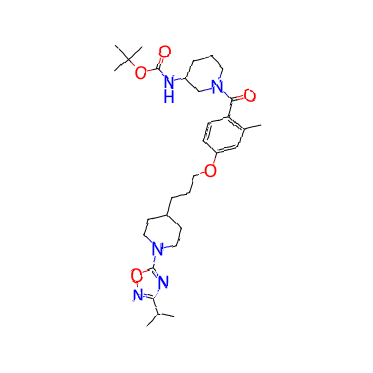 Cc1cc(OCCCC2CCN(c3nc(C(C)C)no3)CC2)ccc1C(=O)N1CCCC(NC(=O)OC(C)(C)C)C1